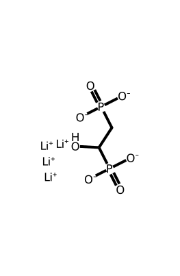 O=P([O-])([O-])CC(O)P(=O)([O-])[O-].[Li+].[Li+].[Li+].[Li+]